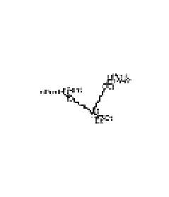 CCCCCC(CCCCC)CC(=O)OCCCCCCCCC1(CCCCCCCCOC(=O)CC(CCCCC)CCCCC)OCC(CN(CC)CC)O1